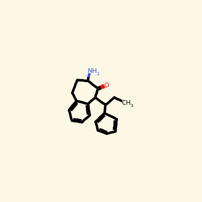 CCC(c1ccccc1)C1C(=O)C(N)CCc2ccccc21